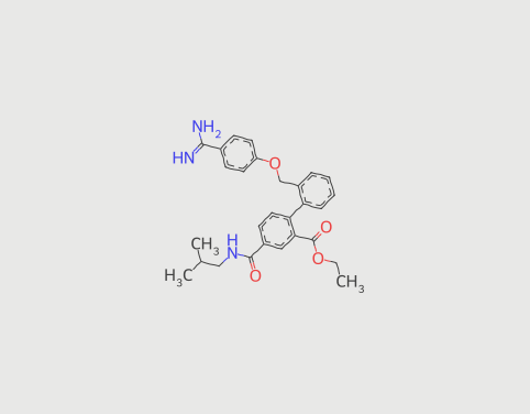 CCOC(=O)c1cc(C(=O)NCC(C)C)ccc1-c1ccccc1COc1ccc(C(=N)N)cc1